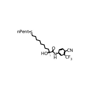 CCCCCSCCCCCCCC[C@](C)(O)C(=O)Nc1ccc(C#N)c(C(F)(F)F)c1